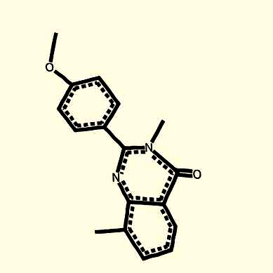 COc1ccc(-c2nc3c(C)cccc3c(=O)n2C)cc1